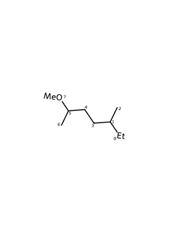 CCC(C)CCC(C)OC